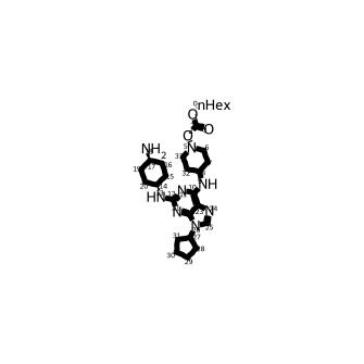 CCCCCCOC(=O)ON1CCC(Nc2nc(N[C@H]3CC[C@H](N)CC3)nc3c2ncn3C2CCCC2)CC1